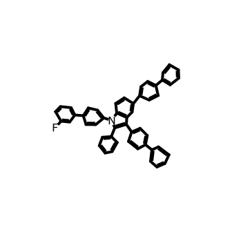 Fc1cccc(-c2ccc(-n3c(-c4ccccc4)c(-c4ccc(-c5ccccc5)cc4)c4cc(-c5ccc(-c6ccccc6)cc5)ccc43)cc2)c1